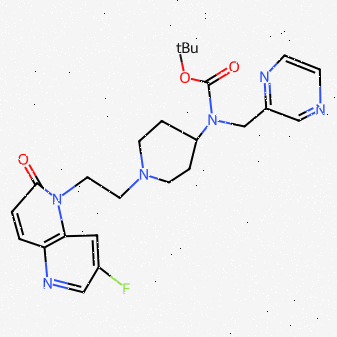 CC(C)(C)OC(=O)N(Cc1cnccn1)C1CCN(CCn2c(=O)ccc3ncc(F)cc32)CC1